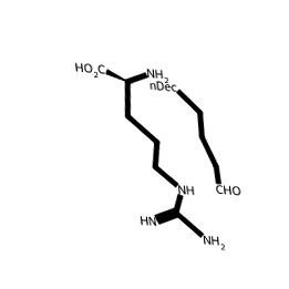 CCCCCCCCCCCCCC=O.N=C(N)NCCC[C@H](N)C(=O)O